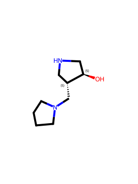 O[C@@H]1CNC[C@H]1CN1CCCC1